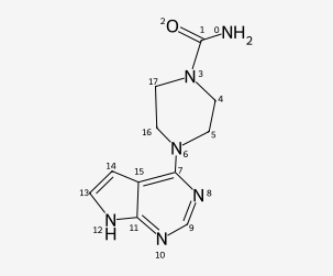 NC(=O)N1CCN(c2ncnc3[nH]ccc23)CC1